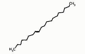 CCCCCCCC=CCCCCCCCCCCC